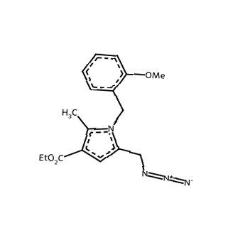 CCOC(=O)c1cc(CN=[N+]=[N-])n(Cc2ccccc2OC)c1C